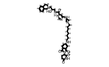 O=C1CCC(N2C(=O)c3ccc(NCCCCCCCCN4CC(Nc5cc(C(=O)NC[C@H](O)CN6CCc7ccccc7C6)ncn5)C4)cc3C2=O)C(=O)N1